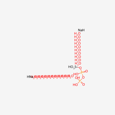 O.O.O.O.O.O.O.O.O.O.O.O.O.O.O.O.O.O.O.O.O.O.O=P(O)(O)OP(=O)(O)OS(=O)(=O)O.[NaH].[NaH]